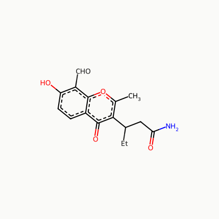 CCC(CC(N)=O)c1c(C)oc2c(C=O)c(O)ccc2c1=O